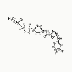 COC(=O)C1CC12CCC(c1ccc(NC(=O)c3nnc(Nc4ccc(F)c(F)c4)o3)cn1)CC2